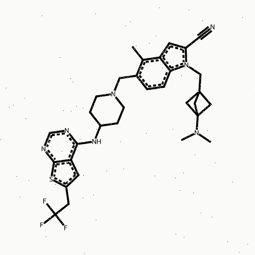 Cc1c(CN2CCC(Nc3ncnc4sc(CC(F)(F)F)cc34)CC2)ccc2c1cc(C#N)n2CC12CC(N(C)C)(C1)C2